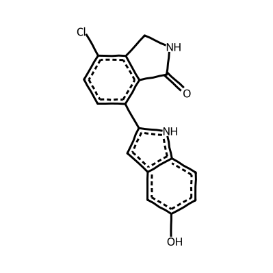 O=C1NCc2c(Cl)ccc(-c3cc4cc(O)ccc4[nH]3)c21